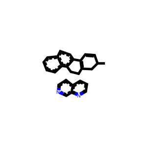 CC1C=CC2=C(CCc3c2ccc2ccccc32)C1.c1cnc2cnccc2c1